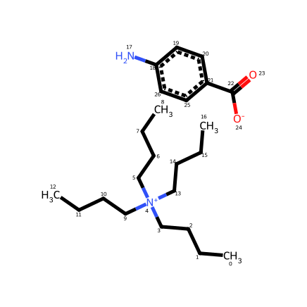 CCCC[N+](CCCC)(CCCC)CCCC.Nc1ccc(C(=O)[O-])cc1